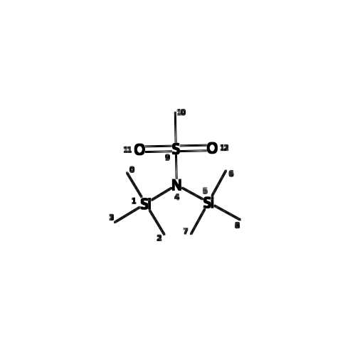 C[Si](C)(C)N([Si](C)(C)C)S(C)(=O)=O